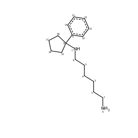 NCCCCCCNC1(c2ccccc2)CCCC1